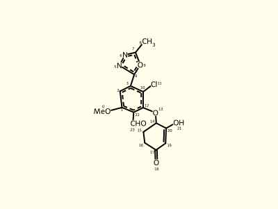 COc1cc(-c2nnc(C)o2)c(Cl)c(OC2CCC(=O)C=C2O)c1C=O